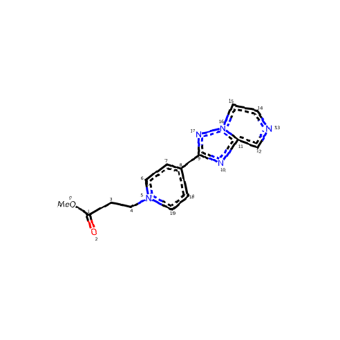 COC(=O)CC[n+]1ccc(-c2nc3cnccn3n2)cc1